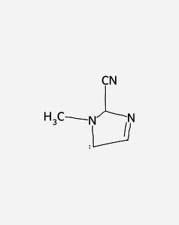 CN1[C]C=NC1C#N